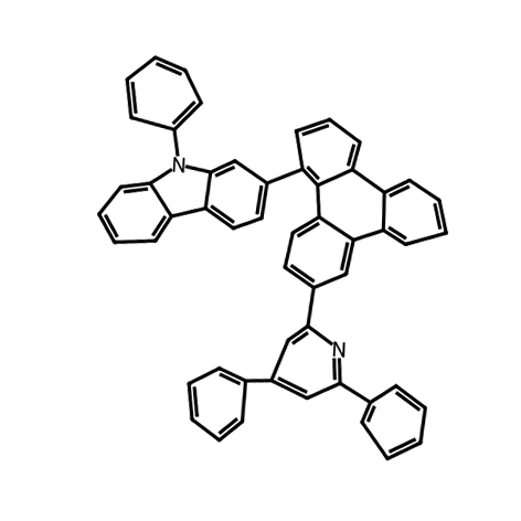 c1ccc(-c2cc(-c3ccccc3)nc(-c3ccc4c(c3)c3ccccc3c3cccc(-c5ccc6c7ccccc7n(-c7ccccc7)c6c5)c34)c2)cc1